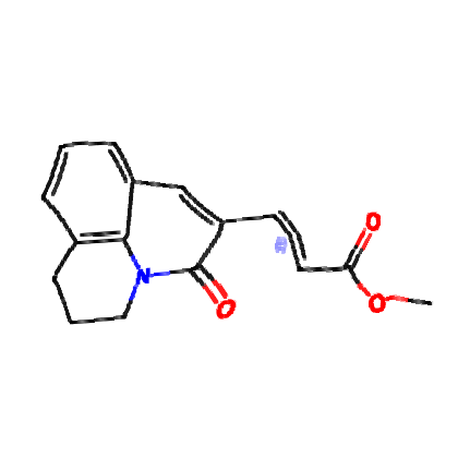 COC(=O)/C=C/c1cc2cccc3c2n(c1=O)CCC3